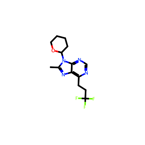 Cc1nc2c(CCC(F)(F)F)ncnc2n1C1CCCCO1